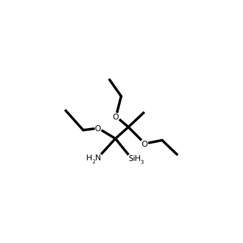 CCOC(N)([SiH3])C(C)(OCC)OCC